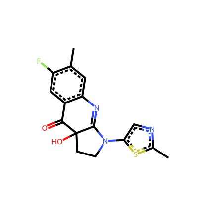 Cc1ncc(N2CCC3(O)C(=O)c4cc(F)c(C)cc4N=C23)s1